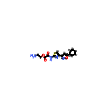 NCCOC(=O)C(=O)Nc1nc(-c2cc(-c3ccccc3)on2)cs1